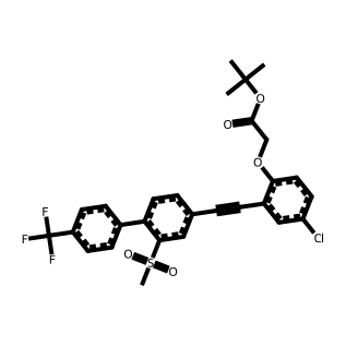 CC(C)(C)OC(=O)COc1ccc(Cl)cc1C#Cc1ccc(-c2ccc(C(F)(F)F)cc2)c(S(C)(=O)=O)c1